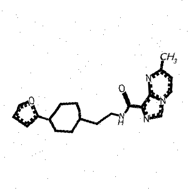 Cc1ccn2cnc(C(=O)NCCC3CCC(c4ccco4)CC3)c2n1